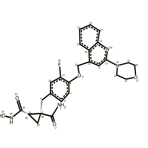 NC(=O)[C@@]1(Cc2ccc(OCc3cc(N4CCOCC4)nc4ccccc34)c(F)c2)C[C@@H]1C(=O)NO